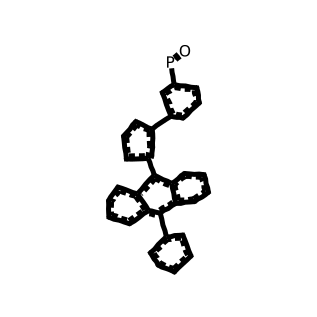 O=Pc1cccc(-c2cccc(-c3c4ccccc4c(-c4ccccc4)c4ccccc34)c2)c1